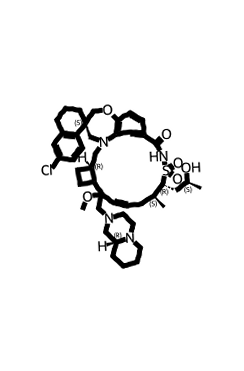 COC1(CN2CCN3CCCC[C@@H]3C2)C=CC[C@H](C)[C@@H](C[C@H](C)O)S(=O)(=O)NC(=O)c2ccc3c(c2)N(C[C@@H]2CCC21)C[C@@]1(CCCc2cc(Cl)ccc21)CO3